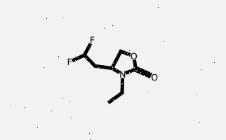 CCN1C(=O)OCC1CC(F)F